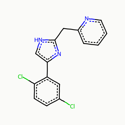 Clc1ccc(Cl)c(-c2c[nH]c(Cc3ccccn3)n2)c1